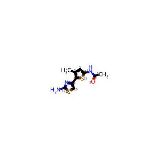 CC(=O)Nc1cc(C)c(-c2csc(N)n2)s1